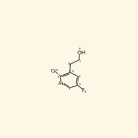 OCCc1cc(F)cnc1Cl